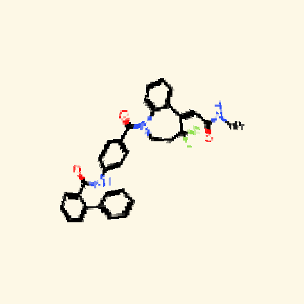 CCCNC(=O)C=C1c2ccccc2N(C(=O)c2ccc(NC(=O)c3ccccc3-c3ccccc3)cc2)CCC1(F)F